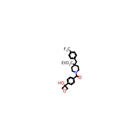 CCOC(=O)C1(Cc2ccc(C(F)(F)F)cc2)CCN(C(=O)c2ccc(C3(O)COC3)cc2)CC1